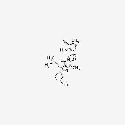 CC(C)=CCn1c(N2CCCC(N)C2)nc2c1c(=O)n(CC(=O)c1ccc(C)c(C#N)c1N)c(=O)n2C